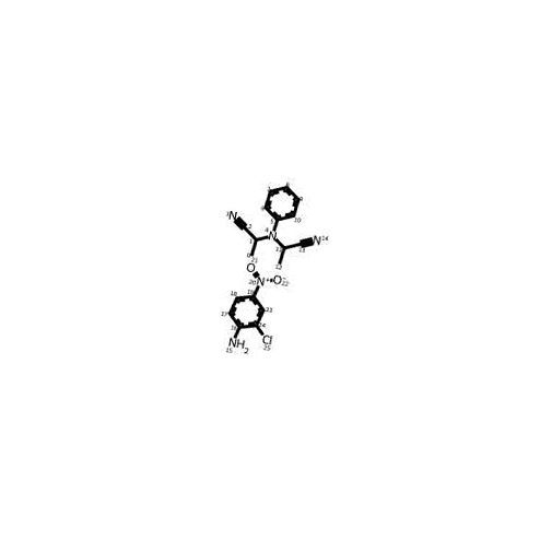 CC(C#N)N(c1ccccc1)C(C)C#N.Nc1ccc([N+](=O)[O-])cc1Cl